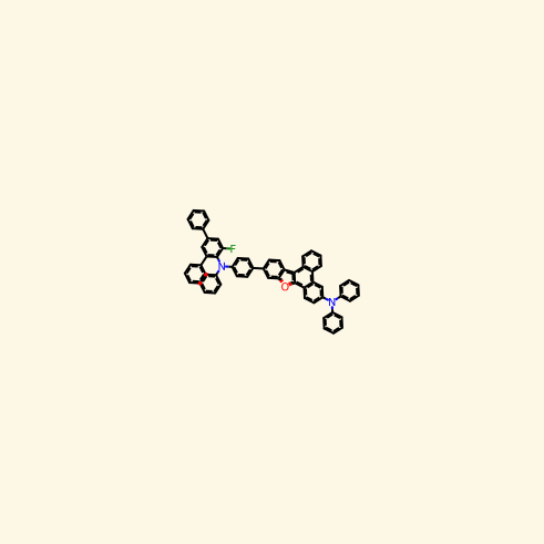 Fc1cc(-c2ccccc2)cc(-c2ccccc2)c1N(c1ccccc1)c1ccc(-c2ccc3c(c2)oc2c4ccc(N(c5ccccc5)c5ccccc5)cc4c4ccccc4c32)cc1